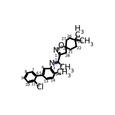 C/C(=N\c1cc(-c2ccccc2Cl)ccc1C)C1=NOC2(CCC(C)(C)CC2)C1